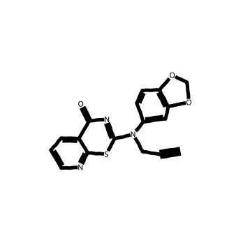 C#CCN(c1ccc2c(c1)OCO2)c1nc(=O)c2cccnc2s1